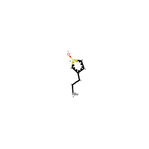 CCCCCCc1cc[s+]([O-])c1